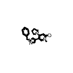 Cn1cc(-c2cnn(Cc3ccccc3)c2)c(N2CCCC2)cc1=O